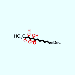 CCCCCCCCCCCCCCCCC(=O)C(O)C(O)C(O)C(O)C(=O)O